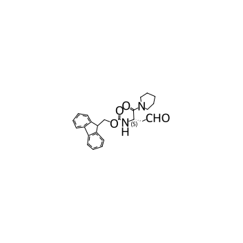 O=CC[C@H](NC(=O)OCC1c2ccccc2-c2ccccc21)C(=O)N1CCCCC1